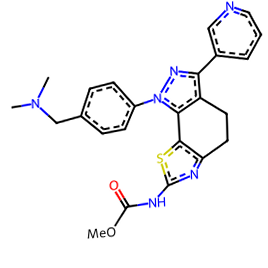 COC(=O)Nc1nc2c(s1)-c1c(c(-c3cccnc3)nn1-c1ccc(CN(C)C)cc1)CC2